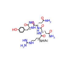 CC(=O)N[C@@H](CCCNC(=N)N)C(=O)N[C@@H](CCC(N)=O)C(=O)N[C@@H](CCC(N)=O)C(=O)N[C@@H](Cc1ccc(O)cc1)C(N)=O